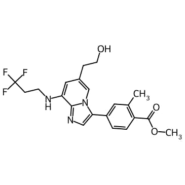 COC(=O)c1ccc(-c2cnc3c(NCCC(F)(F)F)cc(CCO)cn23)cc1C